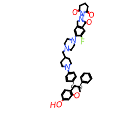 O=C1c2cc(F)c(N3CCN(CC4CCN(c5ccc([C@H]6c7ccc(O)cc7OC[C@@H]6c6ccccc6)cc5)CC4)CC3)cc2CN1N1C(=O)CCCC1=O